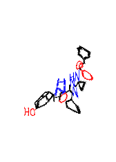 O=C(NC1(c2ncc(C(=O)N[C@H]3C4CC5CC3C[C@@](O)(C5)C4)c(C3CCCC3)n2)CC1)OCc1ccccc1